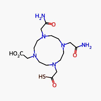 NC(=O)CN1CCN(CC(N)=O)CCN(CC(=O)S)CCN(CC(=O)O)CC1